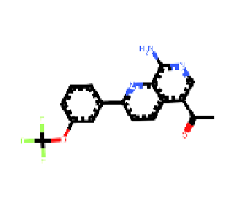 CC(=O)c1cnc(N)c2nc(-c3cccc(OC(F)(F)F)c3)ccc12